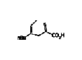 C=C(CC(=CC)CCCC)C(=O)O